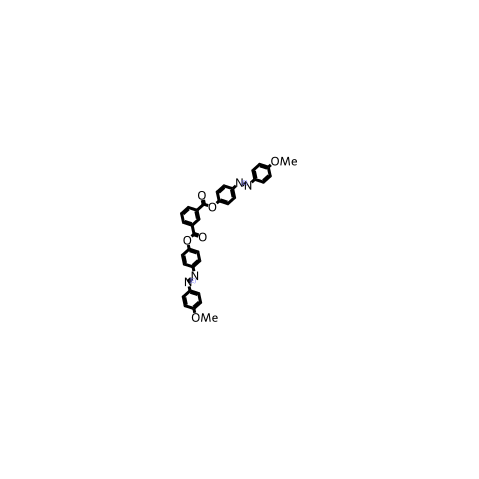 COc1ccc(/N=N/c2ccc(OC(=O)c3cccc(C(=O)Oc4ccc(/N=N/c5ccc(OC)cc5)cc4)c3)cc2)cc1